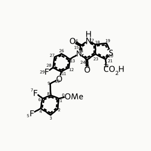 COc1ccc(F)c(F)c1COc1cc(-n2c(=O)[nH]c3csc(C(=O)O)c3c2=O)ccc1F